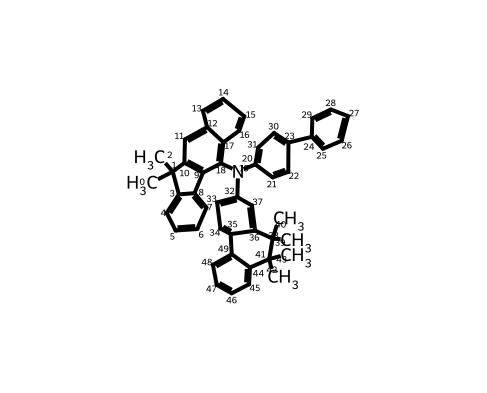 CC1(C)c2ccccc2-c2c1cc1ccccc1c2N(c1ccc(-c2ccccc2)cc1)c1ccc2c(c1)C(C)(C)C(C)(C)c1ccccc1-2